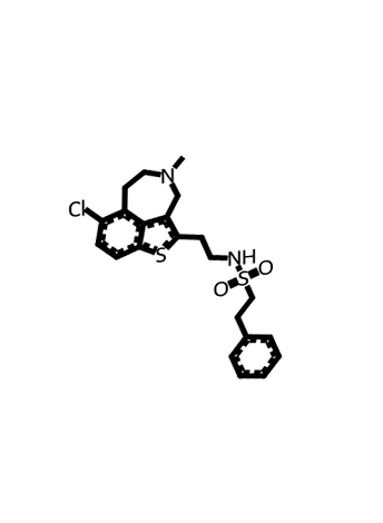 CN1CCc2c(Cl)ccc3sc(CCNS(=O)(=O)CCc4ccccc4)c(c23)C1